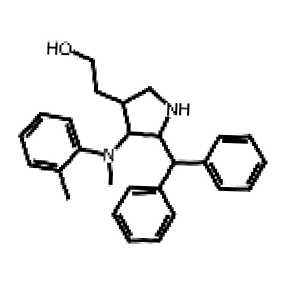 Cc1ccccc1N(C)C1C(CCO)CNC1C(c1ccccc1)c1ccccc1